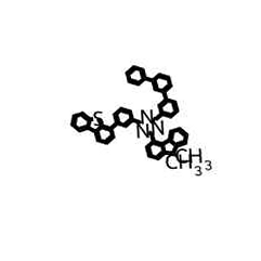 CC1(C)c2ccccc2-c2c(-c3nc(-c4cccc(-c5cccc(-c6ccccc6)c5)c4)nc(-c4cccc(-c5cccc6c5sc5ccccc56)c4)n3)cccc21